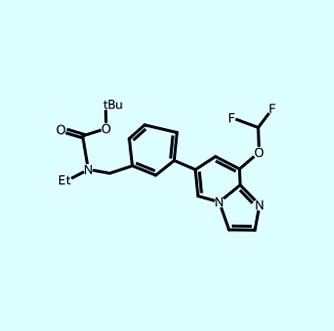 CCN(Cc1cccc(-c2cc(OC(F)F)c3nccn3c2)c1)C(=O)OC(C)(C)C